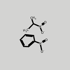 CC(C)[N+](=O)[O-].O=[N+]([O-])c1ccccc1